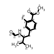 COC(=O)c1ccc(CC(NC=O)C(C)C)cc1F